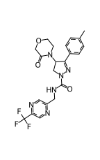 Cc1ccc(C2=NN(C(=O)NCc3cnc(C(F)(F)F)cn3)CC2N2CCOCC2=O)cc1